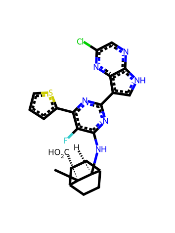 C[C@]1(C(=O)O)C2CCC(CC2)[C@@H]1Nc1nc(-c2c[nH]c3ncc(Cl)nc23)nc(-c2cccs2)c1F